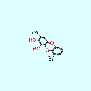 CCCc1ccc(Oc2c(O)cccc2CC)c(O)c1O